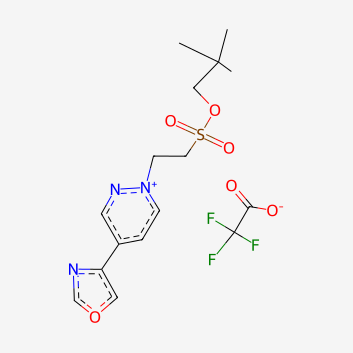 CC(C)(C)COS(=O)(=O)CC[n+]1ccc(-c2cocn2)cn1.O=C([O-])C(F)(F)F